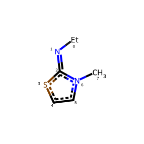 CC/N=c1/sccn1C